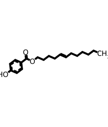 CCCCCCC=CCCCCOC(=O)c1ccc(O)cc1